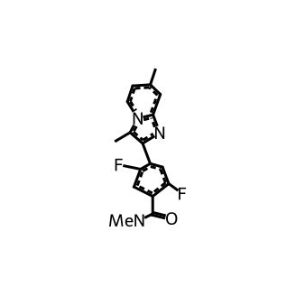 CNC(=O)c1cc(F)c(-c2nc3cc(C)ccn3c2C)cc1F